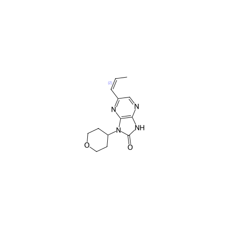 C/C=C\c1cnc2[nH]c(=O)n(C3CCOCC3)c2n1